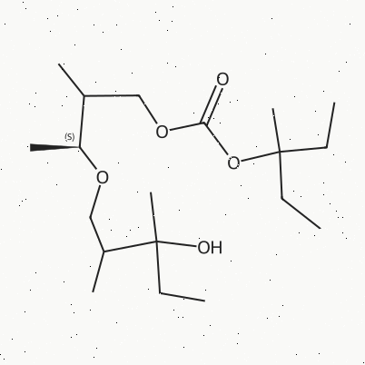 CCC(C)(CC)OC(=O)OCC(C)[C@H](C)OCC(C)C(C)(O)CC